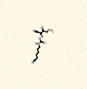 COC(=O)C(C#N)=NOC(=O)NCCCCCC#N